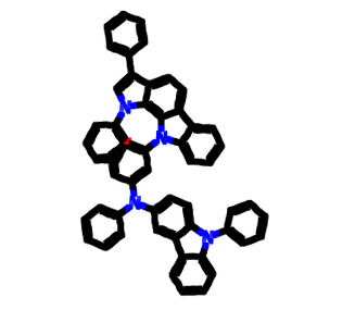 c1ccc(-c2cn(-c3ccccc3)c3c2ccc2c4ccccc4n(-c4cccc(N(c5ccccc5)c5ccc6c(c5)c5ccccc5n6-c5ccccc5)c4)c23)cc1